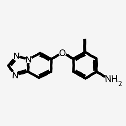 Cc1cc(N)ccc1Oc1ccc2ncnn2c1